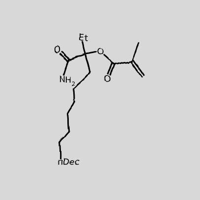 C=C(C)C(=O)OC(CC)(CCCCCCCCCCCCCCCC)C(N)=O